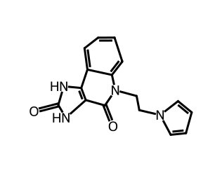 O=c1[nH]c2c(=O)n(CCn3cccc3)c3ccccc3c2[nH]1